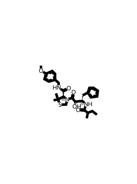 CCC(C)C(=O)N[C@@H](Cc1ccccc1)[C@H](O)C(=O)N1CSC(C)(C)[C@H]1C(=O)NCc1ccc(OC)cc1